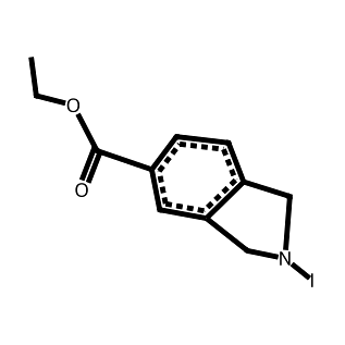 CCOC(=O)c1ccc2c(c1)CN(I)C2